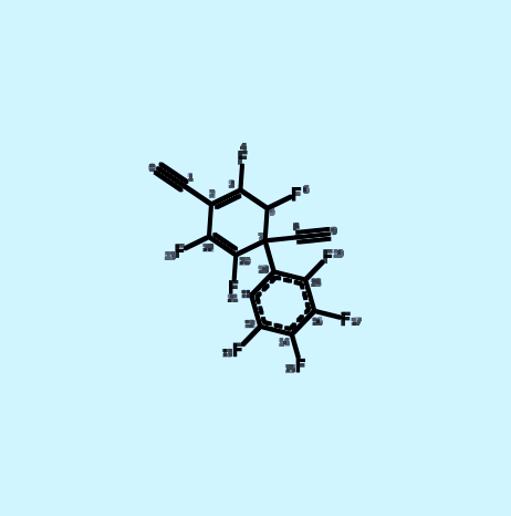 C#CC1=C(F)C(F)C(C#C)(c2cc(F)c(F)c(F)c2F)C(F)=C1F